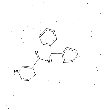 O=C(NC(c1ccccc1)c1ccccc1)C1=CNC=CC1